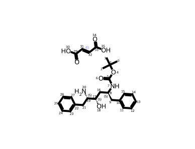 CC(C)(C)OC(=O)N[C@@H](Cc1ccccc1)C[C@H](O)[C@@H](N)Cc1ccccc1.O=C(O)/C=C/C(=O)O